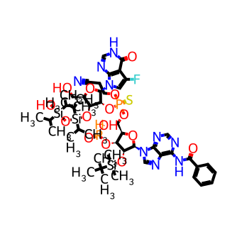 CC(C)[Si](O)(O[Si](O[C@H]1[C@@H](OP(=S)(OCCC#N)OC[C@H]2O[C@@H](n3cnc4c(NC(=O)c5ccccc5)ncnc43)[C@H](O[Si](C)(C)C(C)(C)C)[C@@H]2O[PH](=O)O)[C@H](n2cc(F)c3c(=O)[nH]cnc32)O[C@@H]1CO)(C(C)C)C(C)C)C(C)C